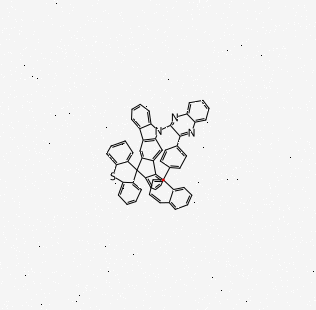 c1ccc2c(c1)Sc1ccccc1C21c2ccccc2-c2cc3c(cc21)c1ccccc1n3-c1nc2ccccc2nc1-c1ccc(-c2cccc3ccccc23)cc1